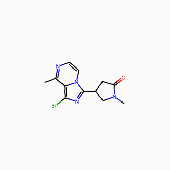 Cc1nccn2c(C3CC(=O)N(C)C3)nc(Br)c12